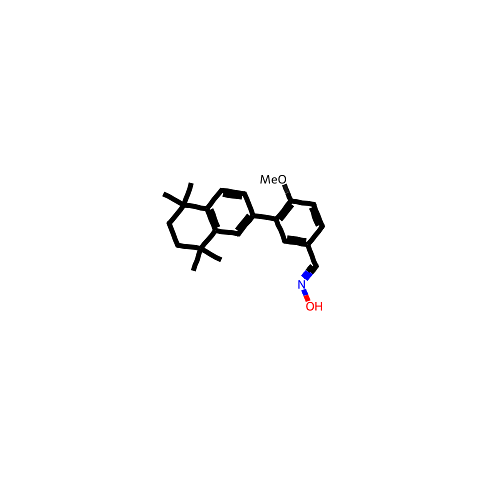 COc1ccc(C=NO)cc1-c1ccc2c(c1)C(C)(C)CCC2(C)C